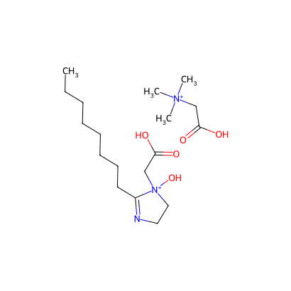 CCCCCCCCC1=NCC[N+]1(O)CC(=O)O.C[N+](C)(C)CC(=O)O